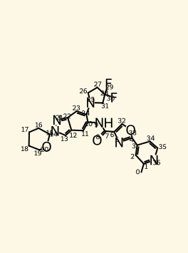 Cc1cc(-c2nc(C(=O)Nc3cc4cn(C5CCCCO5)nc4cc3N3CCC(F)(F)C3)co2)ccn1